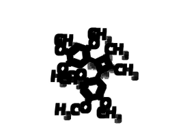 COc1cc(OC)c([C@@H]2[C@@H](C)[C@@H](C)[C@@H]2c2cc(OC)c(OC)cc2OC)cc1OC